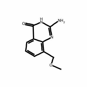 COCc1cccc2c(=O)[nH]c(N)nc12